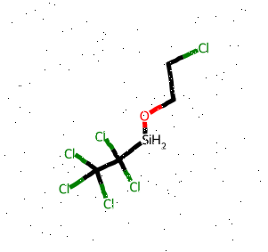 ClCCO[SiH2]C(Cl)(Cl)C(Cl)(Cl)Cl